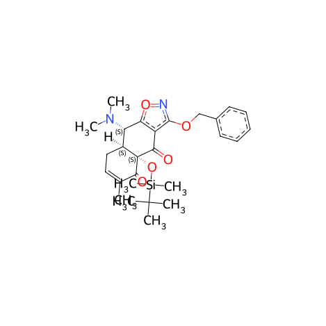 CC1=CC[C@H]2[C@H](N(C)C)c3onc(OCc4ccccc4)c3C(=O)[C@@]2(O[Si](C)(C)C(C)(C)C)C1=O